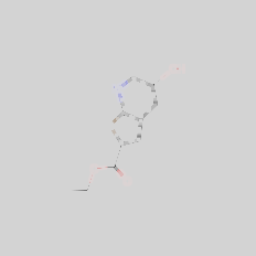 CCOC(=O)c1cc2cc(O)cnc2s1